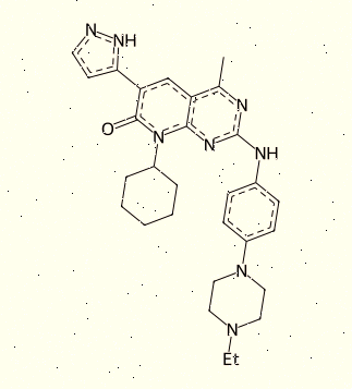 CCN1CCN(c2ccc(Nc3nc(C)c4cc(-c5ccn[nH]5)c(=O)n(C5CCCCC5)c4n3)cc2)CC1